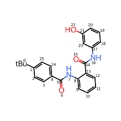 CC(C)(C)c1ccc(C(=O)Nc2ccccc2C(=O)Nc2cccc(O)c2)cc1